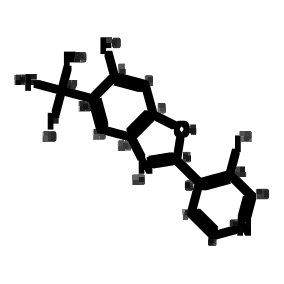 Fc1cc2oc(-c3ccncc3I)nc2cc1C(F)(F)F